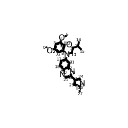 COc1cc(OC)cc(N(CC(O)C(C)C)c2ccc3ncc(-c4cnn(C)c4)nc3c2)c1